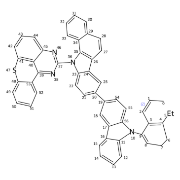 C/C=C\C1=C(CC)CCC=C1n1c2ccccc2c2cc(-c3ccc4c(c3)c3ccc5ccccc5c3n4-c3nc4c5c(cccc5n3)Sc3ccccc3-4)ccc21